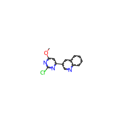 COc1cc(-c2cnc3ccccc3c2)nc(Cl)n1